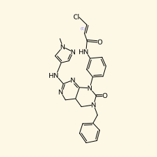 Cn1cc(NC2=NCC3CN(Cc4ccccc4)C(=O)N(c4cccc(NC(=O)/C=C/Cl)c4)C3=N2)cn1